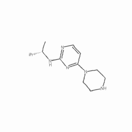 CC(C)[C@H](C)Nc1nccc(N2CCNCC2)n1